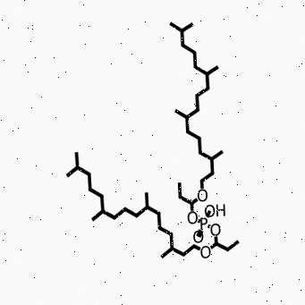 CCC(OCCC(C)CCCC(C)CCCC(C)CCCC(C)C)OP(=O)(O)OC(CC)OCCC(C)CCCC(C)CCCC(C)CCCC(C)C